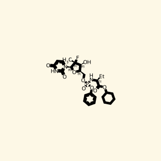 CC[C@H](NP(=O)(OC[C@H]1O[C@@H](n2ccc(=O)[nH]c2=O)[C@](C)(F)[C@@H]1O)Oc1ccccc1)C(=O)OC1CCCCC1